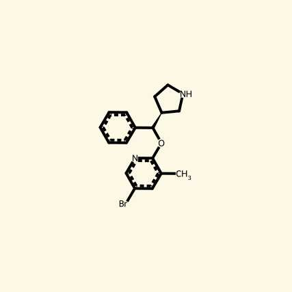 Cc1cc(Br)cnc1OC(c1ccccc1)[C@H]1CCNC1